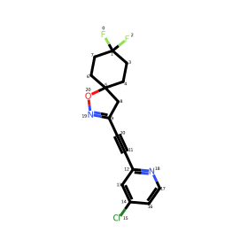 FC1(F)CCC2(CC1)CC(C#Cc1cc(Cl)ccn1)=NO2